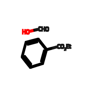 CCOC(=O)c1ccccc1.O=CO